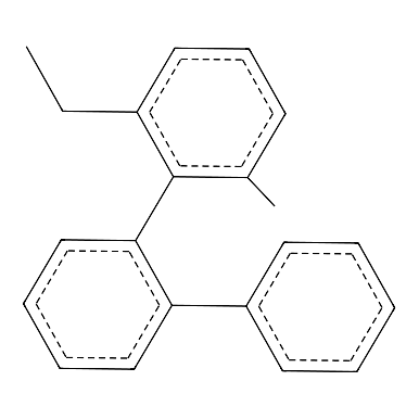 CCc1cccc(C)c1-c1ccccc1-c1ccccc1